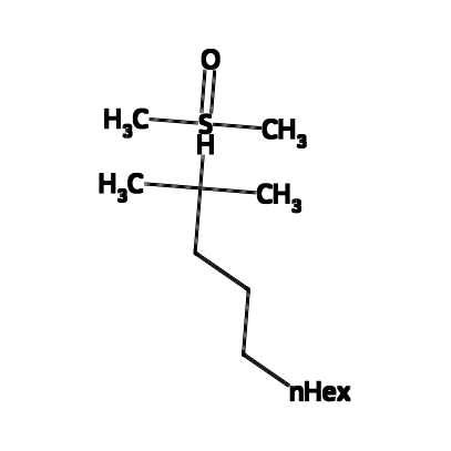 CCCCCCCCCC(C)(C)[SH](C)(C)=O